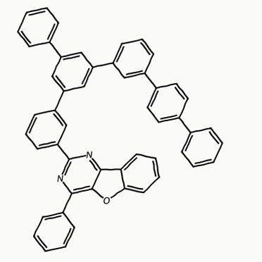 c1ccc(-c2ccc(-c3cccc(-c4cc(-c5ccccc5)cc(-c5cccc(-c6nc(-c7ccccc7)c7oc8ccccc8c7n6)c5)c4)c3)cc2)cc1